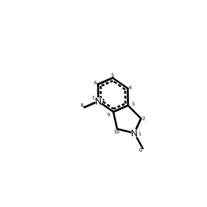 CN1Cc2ccc[n+](C)c2C1